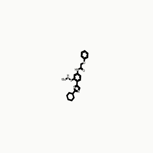 CC(C)(C)NSc1cc(NC(=O)COc2ccccc2)ccc1-c1cnc(C2CCCCC2)s1